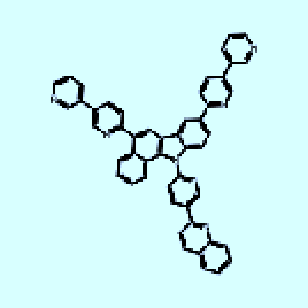 c1cncc(-c2ccc(-c3ccc4c(c3)c3cc(-c5ccc(-c6cccnc6)cn5)c5ccccc5c3n4-c3ccc(-c4ccc5ccccc5n4)cn3)nc2)c1